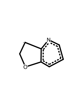 [CH]1COc2cccnc21